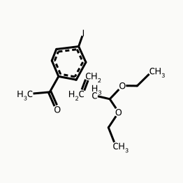 C=C.CC(=O)c1ccc(I)cc1.CCOC(C)OCC